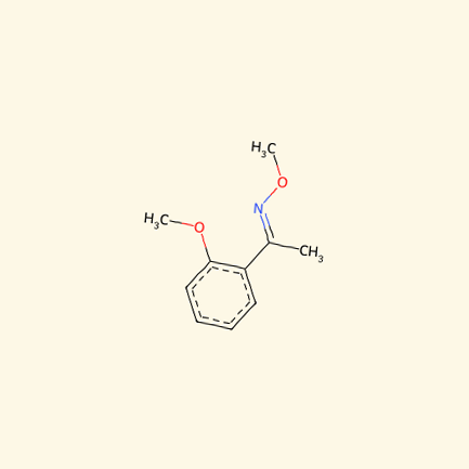 CON=C(C)c1ccccc1OC